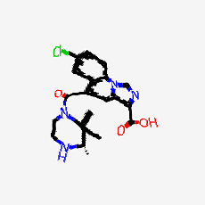 C[C@@H]1NCCN(C(=O)c2cc3c(C(=O)O)ncn3c3ccc(Cl)cc23)C1(C)C